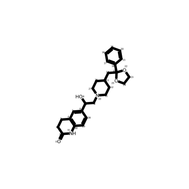 O=C1CCc2cc(C(O)CN3CCC(CC4(c5ccccc5)OCCO4)CC3)ccc2N1